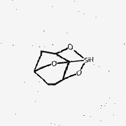 C1C2CC3CC1O[SiH](O2)O3